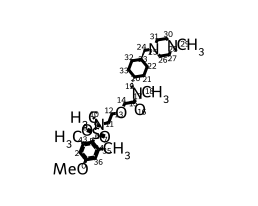 COc1cc(C)c(S(=O)(=O)N(C)CCOCC(=O)N(C)C[C@H]2CC[C@H](CN3CCN(C)CC3)CC2)c(C)c1